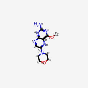 CCOc1nc(N)nc2ncc(N3CCOCC3)nc12